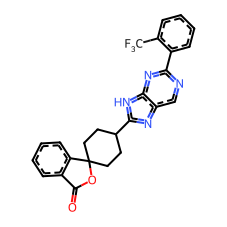 O=C1OC2(CCC(c3nc4cnc(-c5ccccc5C(F)(F)F)nc4[nH]3)CC2)c2ccccc21